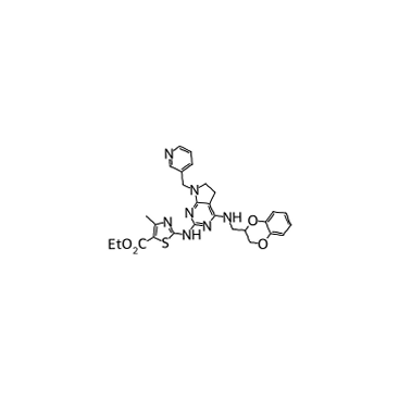 CCOC(=O)c1sc(Nc2nc(NCC3COc4ccccc4O3)c3c(n2)N(Cc2cccnc2)CC3)nc1C